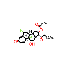 CCCC(=O)O[C@@H]1C[C@H]2[C@@H]3C[C@H](F)C4=CC(=O)C=C[C@]4(C)[C@@]3(F)[C@@H](O)C[C@]2(C)[C@H]1C(=O)COC(C)=O